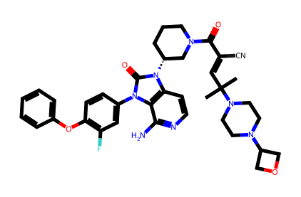 CC(C)(C=C(C#N)C(=O)N1CCC[C@@H](n2c(=O)n(-c3ccc(Oc4ccccc4)c(F)c3)c3c(N)nccc32)C1)N1CCN(C2COC2)CC1